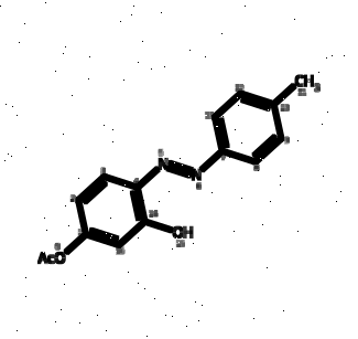 CC(=O)Oc1ccc(N=Nc2ccc(C)cc2)c(O)c1